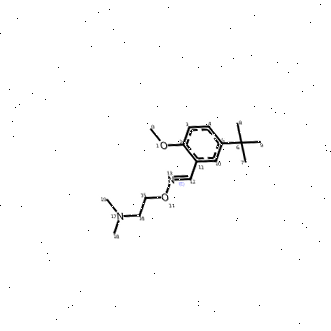 COc1ccc(C(C)(C)C)cc1/C=N/OCCN(C)C